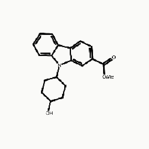 COC(=O)c1ccc2c3ccccc3n(C3CCC(O)CC3)c2c1